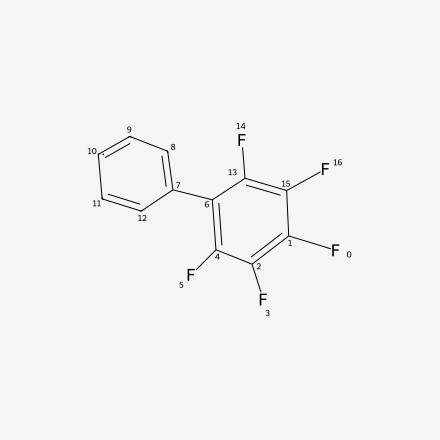 Fc1c(F)c(F)c(-c2cc[c]cc2)c(F)c1F